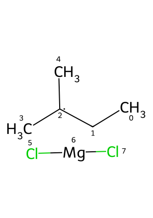 CC[C](C)C.[Cl][Mg][Cl]